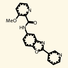 COc1cccnc1C(=O)Nc1ccc2oc(-c3cccnc3)nc2c1